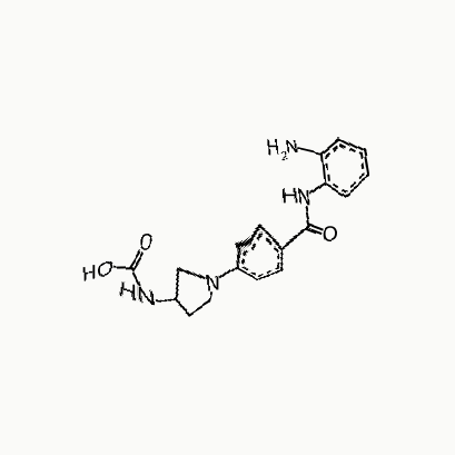 Nc1ccccc1NC(=O)c1ccc(N2CCC(NC(=O)O)C2)cc1